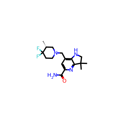 C[C@@H]1CN(Cc2cc(C(N)=O)nc3c2NCC3(C)C)CCC1(F)F